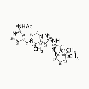 CC(=O)Nc1cc(CN2CCn3nc(Nc4cc5n(n4)CCCC5(C)C)cc3[C@H]2C)ccn1